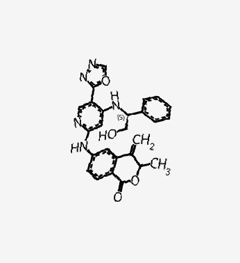 C=C1c2cc(Nc3cc(N[C@H](CO)c4ccccc4)c(-c4nnco4)cn3)ccc2C(=O)OC1C